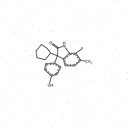 Cc1ccc2c(c1F)NC(=O)C2(c1ccc(O)cc1)C1CCCCC1